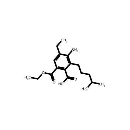 CCOC(=O)c1cc(CC)c(C)c(CCCC(C)C)c1C(=O)O